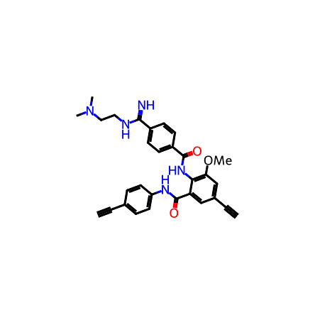 C#Cc1ccc(NC(=O)c2cc(C#C)cc(OC)c2NC(=O)c2ccc(C(=N)NCCN(C)C)cc2)cc1